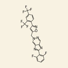 Fc1cccc(F)c1-c1nc2cnn(Cc3cc(-c4ccc(C(F)(F)F)cc4C(F)(F)F)no3)cc-2n1